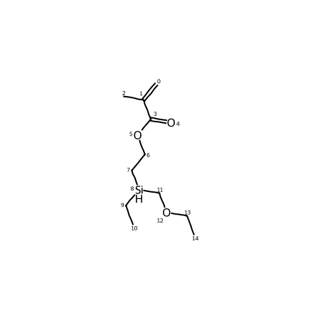 C=C(C)C(=O)OCC[SiH](CC)COCC